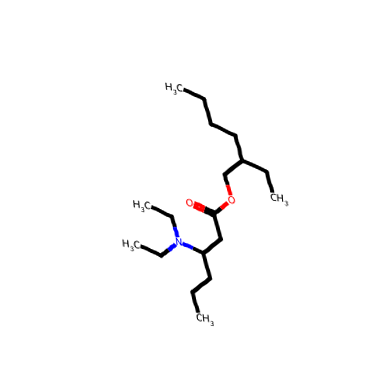 CCCCC(CC)COC(=O)CC(CCC)N(CC)CC